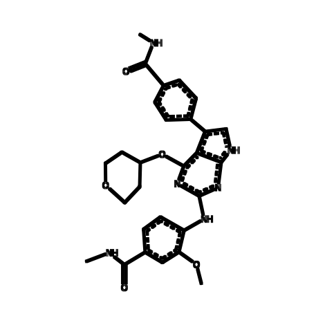 CNC(=O)c1ccc(-c2c[nH]c3nc(Nc4ccc(C(=O)NC)cc4OC)nc(OC4CCOCC4)c23)cc1